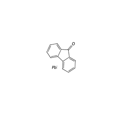 O=C1c2ccccc2-c2ccccc21.[Pb]